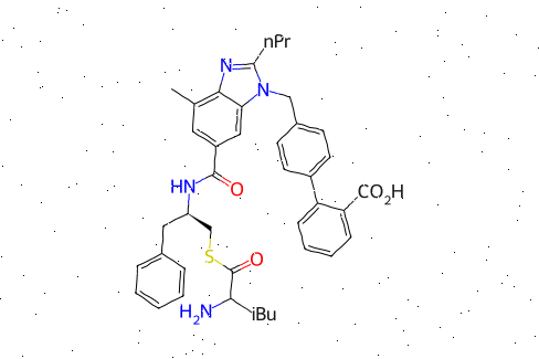 CCCc1nc2c(C)cc(C(=O)N[C@@H](CSC(=O)C(N)C(C)CC)Cc3ccccc3)cc2n1Cc1ccc(-c2ccccc2C(=O)O)cc1